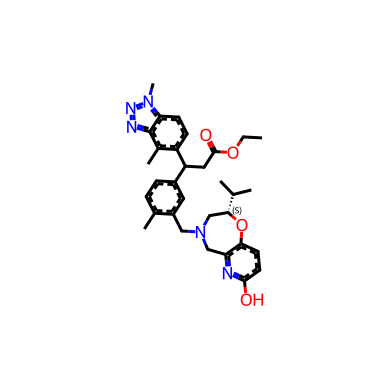 CCOC(=O)CC(c1ccc(C)c(CN2Cc3nc(O)ccc3O[C@@H](C(C)C)C2)c1)c1ccc2c(nnn2C)c1C